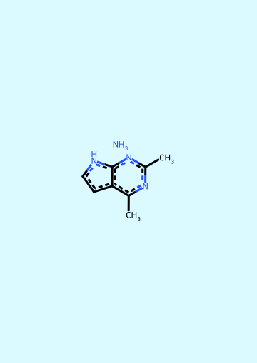 Cc1nc(C)c2cc[nH]c2n1.N